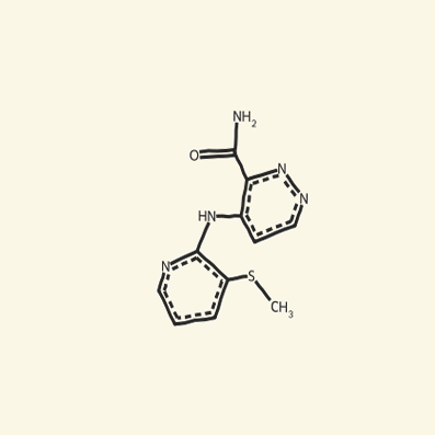 CSc1cccnc1Nc1ccnnc1C(N)=O